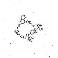 Cc1c2c(nn1C)CSCc1cc(n(C)n1)CSc1cc(c3ccccc3c1)OCC[C@@H](C)c1c(C(O)O)n(C)c3c-2c(Cl)ccc13